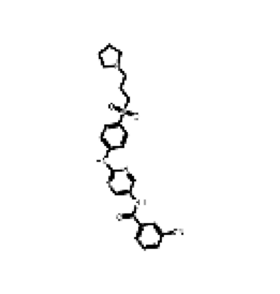 N#Cc1cccc(C(=O)Nc2cnc(Nc3ccc(S(=O)(=O)CCCN4CCCC4)cc3)nc2)c1